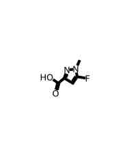 Cn1nc(C(=O)O)cc1F